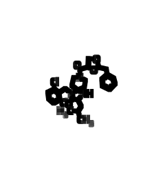 CC(C)CC1NC2(CCN(C(=O)C3=COC(Cc4ccccc4)O3)CC2)N(Cc2c(Cl)cccc2Cl)C1=O